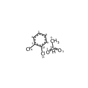 C[SH](=O)=O.Clc1ccccc1Cl